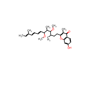 C/C=C(C)/C=C/C=C/C(OC)C(C)C(OC)C(C)CCc1oc2cc(O)ccc2c(=O)c1C